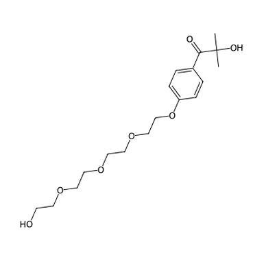 CC(C)(O)C(=O)c1ccc(OCCOCCOCCOCCO)cc1